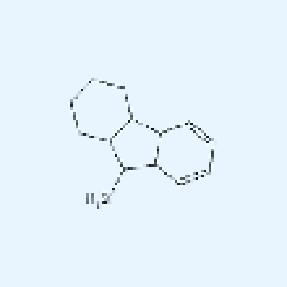 [SiH3]C1C2C=CC=CC2C2CCCCC12